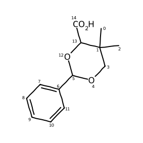 CC1(C)COC(c2ccccc2)OC1C(=O)O